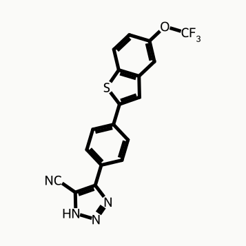 N#Cc1[nH]nnc1-c1ccc(-c2cc3cc(OC(F)(F)F)ccc3s2)cc1